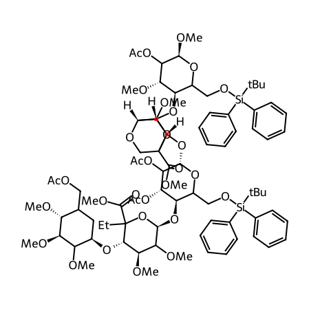 CCC1(C(=O)OC)O[C@@H](O[C@@H]2C(CO[Si](c3ccccc3)(c3ccccc3)C(C)(C)C)O[C@@H](O[C@H]3C(OC)[C@H]4OCC3(C(=O)OC)O[C@H]4O[C@@H]3C(CO[Si](c4ccccc4)(c4ccccc4)C(C)(C)C)O[C@H](OC)C(OC(C)=O)[C@H]3OC)C(OC(C)=O)[C@H]2OC(C)=O)C(OC)[C@@H](OC)[C@@H]1O[C@@H]1CC(COC(C)=O)[C@@H](OC)[C@H](OC)C1OC